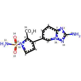 Nc1nc2ccc(-c3ccn(S(N)(=O)=O)c3C(=O)O)cn2n1